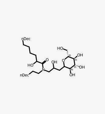 CCCCCCCCCCCCCCC(O)C(=O)N(CCCCCCCCCCCC)CC(O)CC1O[C@H](CO)[C@@H](O)[C@H](O)[C@H]1O